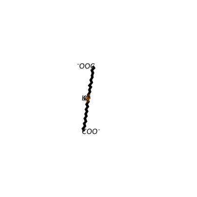 O=C([O-])CCCCCCCCCCCCSSCCCCCCCCCCCCC(=O)[O-].[K+].[K+]